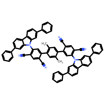 Cc1cc(-c2cc(-n3c4cc(-c5ccccc5)ccc4c4ccc(-c5ccccc5)cc43)c(C#N)cc2C#N)c(C)cc1-c1cc(-n2c3cc(-c4ccccc4)ccc3c3ccc(-c4ccccc4)cc32)c(C#N)cc1C#N